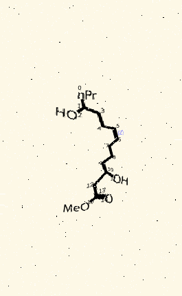 CCCC(O)CC/C=C\CCCC(O)CC(=O)OC